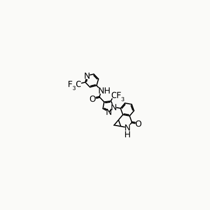 O=C1NC2CC2c2c1cccc2-n1ncc(C(=O)Nc2ccnc(C(F)(F)F)c2)c1C(F)(F)F